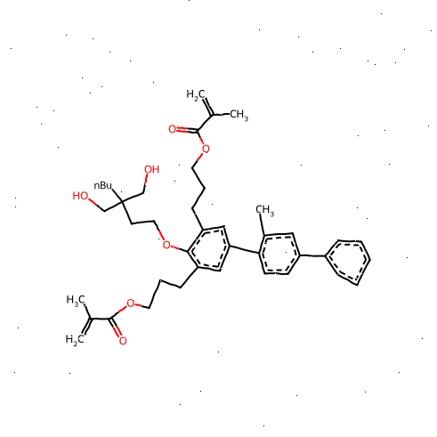 C=C(C)C(=O)OCCCc1cc(-c2ccc(-c3ccccc3)cc2C)cc(CCCOC(=O)C(=C)C)c1OCCC(CO)(CO)CCCC